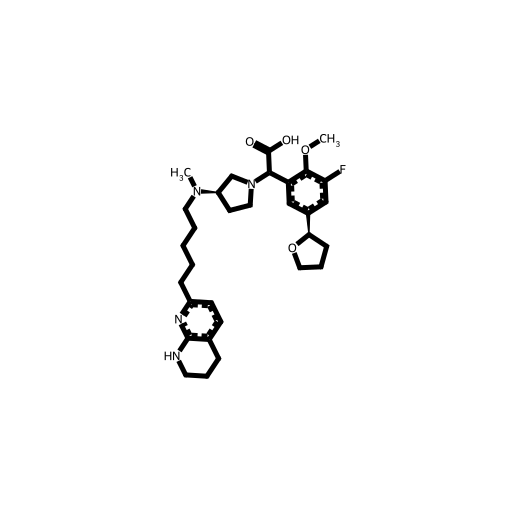 COc1c(F)cc([C@H]2CCCO2)cc1C(C(=O)O)N1CC[C@@H](N(C)CCCCCc2ccc3c(n2)NCCC3)C1